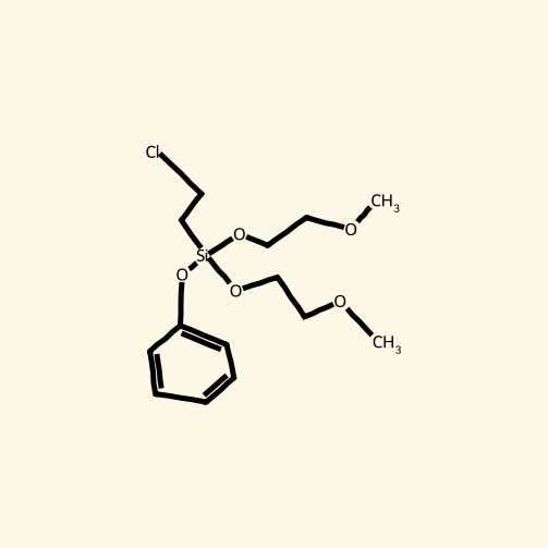 COCCO[Si](CCCl)(OCCOC)Oc1ccccc1